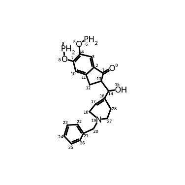 O=C1c2cc(OP)c(OP)cc2CC1C(O)C1=CCN(Cc2ccccc2)CC1